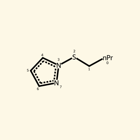 CCCCSn1cccn1